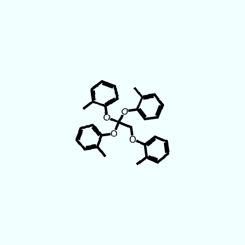 Cc1ccccc1OCC(Oc1ccccc1C)(Oc1ccccc1C)Oc1ccccc1C